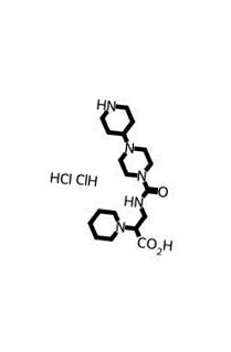 Cl.Cl.O=C(O)C(CNC(=O)N1CCN(C2CCNCC2)CC1)N1CCCCC1